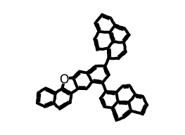 c1ccc2c(c1)ccc1c3cc4c(-c5ccc6ccc7cccc8ccc5c6c78)cc(-c5ccc6ccc7cccc8ccc5c6c78)cc4cc3oc21